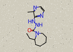 CCC1CCCCCN1C(=O)NNc1nccnc1C